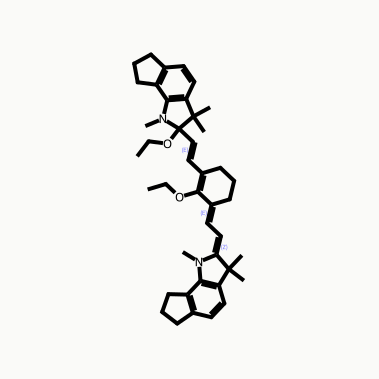 CCOC1=C(/C=C/C2(OCC)N(C)c3c(ccc4c3CCC4)C2(C)C)CCC/C1=C\C=C1/N(C)c2c(ccc3c2CCC3)C1(C)C